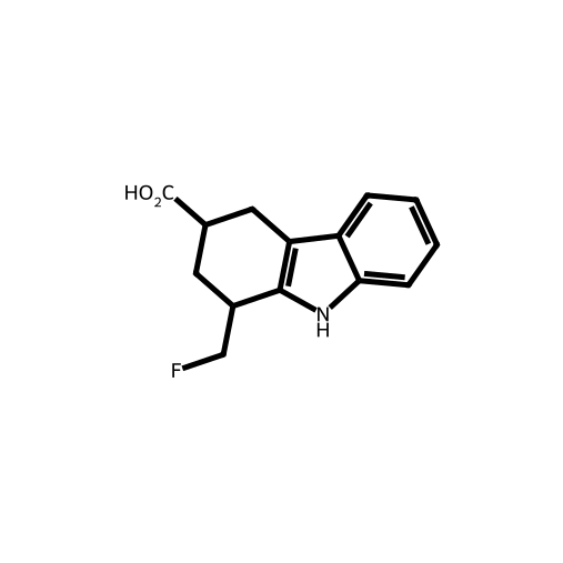 O=C(O)C1Cc2c([nH]c3ccccc23)C(CF)C1